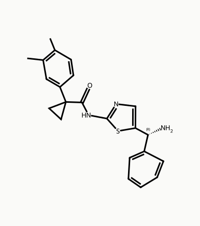 Cc1ccc(C2(C(=O)Nc3ncc([C@H](N)c4ccccc4)s3)CC2)cc1C